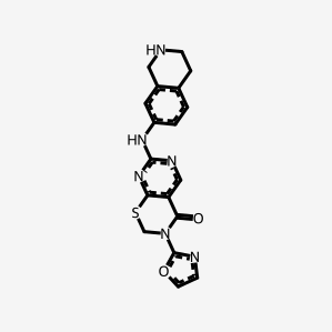 O=C1c2cnc(Nc3ccc4c(c3)CNCC4)nc2SCN1c1ncco1